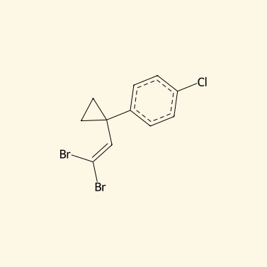 Clc1ccc(C2(C=C(Br)Br)CC2)cc1